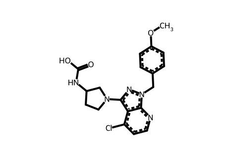 COc1ccc(Cn2nc(N3CCC(NC(=O)O)C3)c3c(Cl)ccnc32)cc1